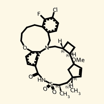 COC12C=C[C@@H](C1)[C@H](C)[C@@H](C)S(=O)(=O)NC(=O)c1ccc3c(c1)N(Cc1ccc(Cl)c(F)c1CCCCO3)C[C@@H]1CC[C@H]12